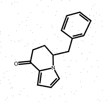 O=C1CCC(Cc2ccccc2)n2cccc21